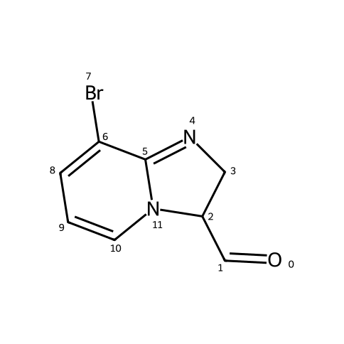 O=CC1CN=C2C(Br)=CC=CN21